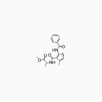 COC(=O)C(C)NC(=O)c1c(C)csc1NC(=O)c1ccccc1